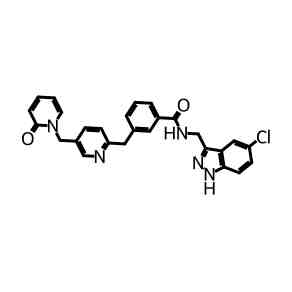 O=C(NCc1n[nH]c2ccc(Cl)cc12)c1cccc(Cc2ccc(Cn3ccccc3=O)cn2)c1